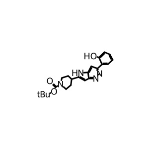 CC(C)(C)OC(=O)N1CCC(c2cc3nnc(-c4ccccc4O)cc3[nH]2)CC1